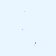 CCCCC/C(=C/C=C/C(=O)N[C@H](C)CCCc1cccnc1)c1cccc(F)c1